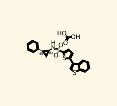 O=C(O)O.O=S(=O)(N[C@H]1C[C@@H]1c1ccccc1)c1ccc(-c2csc3ccccc23)s1